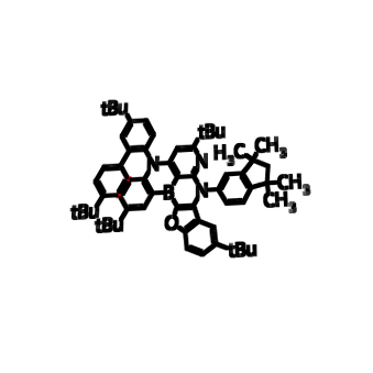 CC(C)(C)c1ccc(-c2cc(C(C)(C)C)ccc2N2c3ccc(C(C)(C)C)cc3B3c4oc5ccc(C(C)(C)C)cc5c4N(c4ccc5c(c4)C(C)(C)CC5(C)C)c4nc(C(C)(C)C)cc2c43)cc1